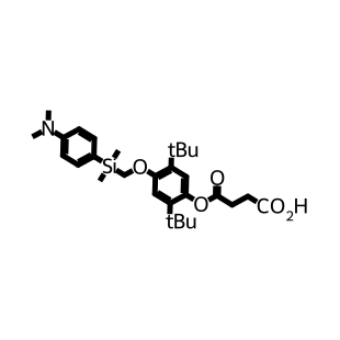 CN(C)c1ccc([Si](C)(C)COc2cc(C(C)(C)C)c(OC(=O)CCC(=O)O)cc2C(C)(C)C)cc1